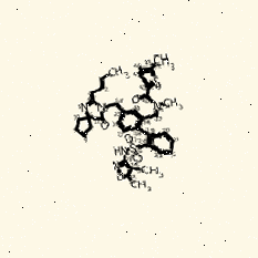 CCCCC1=NC2(CCCC2)C(=O)N1Cc1ccc(-c2ccccc2S(=O)(=O)Nc2noc(C)c2C)c(CN(C)C(=O)c2ccc(C)s2)c1